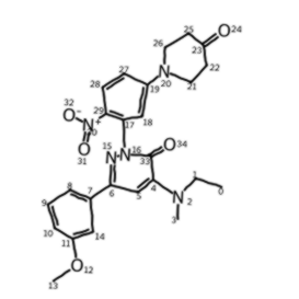 CCN(C)c1cc(-c2cccc(OC)c2)nn(-c2cc(N3CCC(=O)CC3)ccc2[N+](=O)[O-])c1=O